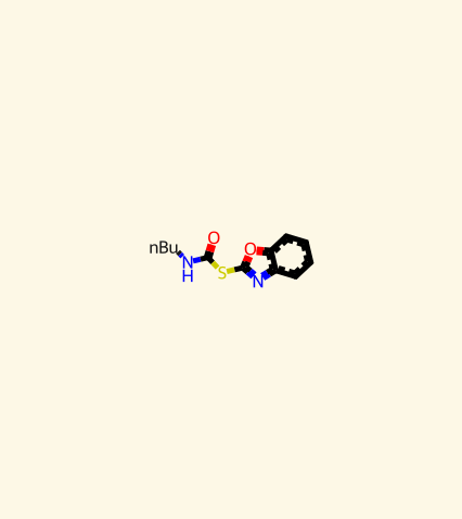 CCCCNC(=O)Sc1nc2ccccc2o1